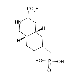 O=C(O)C1C[C@@H]2C[C@H](CP(=O)(O)O)CC[C@@H]2CN1